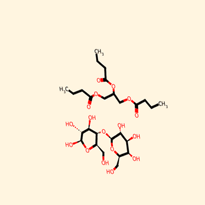 CCCC(=O)OCC(COC(=O)CCC)OC(=O)CCC.OC[C@H]1O[C@@H](O[C@H]2[C@H](O)[C@@H](O)[C@H](O)O[C@@H]2CO)[C@H](O)[C@@H](O)[C@H]1O